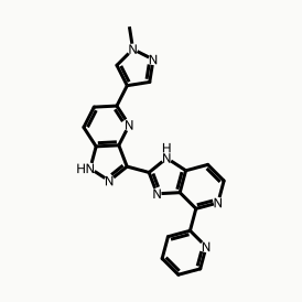 Cn1cc(-c2ccc3[nH]nc(-c4nc5c(-c6ccccn6)nccc5[nH]4)c3n2)cn1